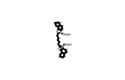 CCCCCCCN1\C(=C/C=C/C=C/c2sc3c4ccccc4ccc3[n+]2CCCCCCC)Sc2c1ccc1ccccc21